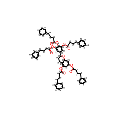 O=C(CCCc1ccccc1)Oc1cc(OC(=O)CCCc2ccccc2)c2c(c1)O[C@H](c1cc(OC(=O)CCCc3ccccc3)c(OC(=O)CCCc3ccccc3)c(OC(=O)CCCc3ccccc3)c1)CC2